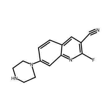 N#Cc1cc2ccc(N3CCNCC3)cc2nc1F